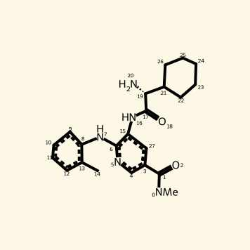 CNC(=O)c1cnc(Nc2ccccc2C)c(NC(=O)[C@H](N)C2CCCCC2)c1